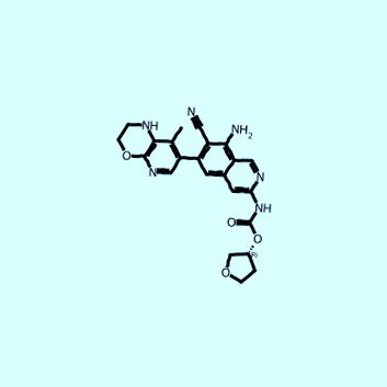 Cc1c(-c2cc3cc(NC(=O)O[C@@H]4CCOC4)ncc3c(N)c2C#N)cnc2c1NCCO2